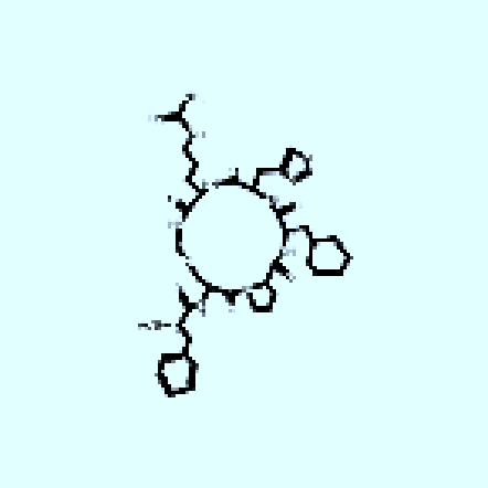 CC(=O)N[C@@H](Cc1ccccc1)C(=O)NC1CCCNC(=O)C(CCCNC(=N)N)NC(=O)C(Cc2c[nH]cn2)NC(=O)[C@@H](CC2CCCCC2)NC(=O)C2CCCN2C1=O